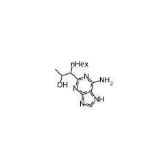 CCCCCCC(c1nc(N)c2[nH]cnc2n1)C(C)O